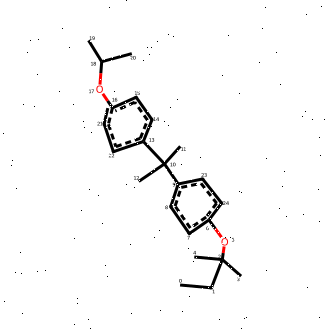 CCC(C)(C)Oc1ccc(C(C)(C)c2ccc(OC(C)C)cc2)cc1